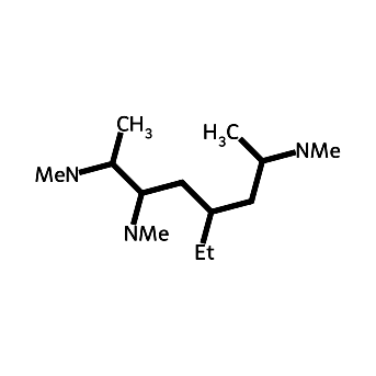 CCC(CC(C)NC)CC(NC)C(C)NC